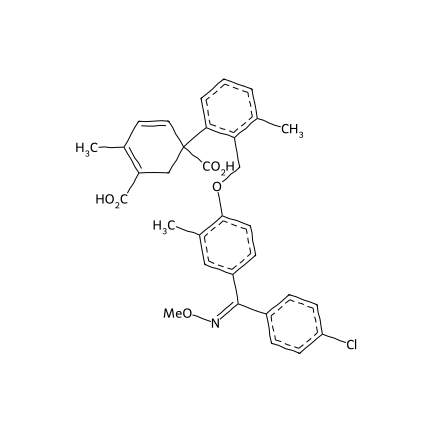 CON=C(c1ccc(Cl)cc1)c1ccc(OCc2c(C)cccc2C2(C(=O)O)C=CC(C)=C(C(=O)O)C2)c(C)c1